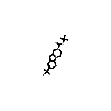 CC(C)(C)OC(=O)N1CCN2c3ncc(C(F)(F)F)cc3CC2C1